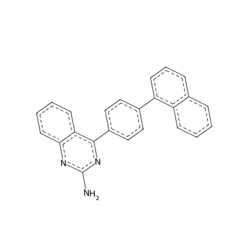 Nc1nc(-c2ccc(-c3cccc4ccccc34)cc2)c2ccccc2n1